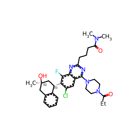 CCC(=O)N1CCN(c2nc(CCCC(=O)N(C)C)nc3c(F)c([C@H]4C[C@](C)(O)Cc5ccccc54)c(Cl)cc23)CC1